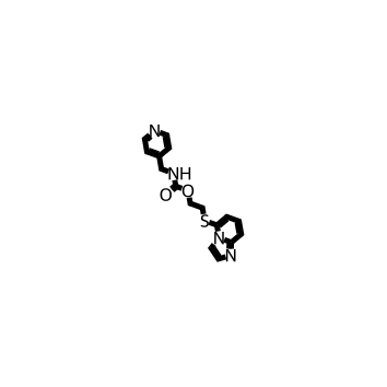 O=C(NCc1ccncc1)OCCSc1cccc2nccn12